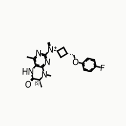 C=[N+](c1nc(C)c2c(n1)N(C)[C@@H](C)C(=O)N2)[C@H]1C[C@@H](COc2ccc(F)cc2)C1